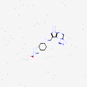 CC(C)(C)OC(=O)NC[C@H]1CC[C@H](NCc2c[nH]c3ncc4nncn4c23)CC1